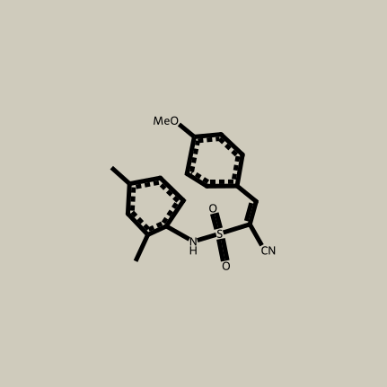 COc1ccc(C=C(C#N)S(=O)(=O)Nc2ccc(C)cc2C)cc1